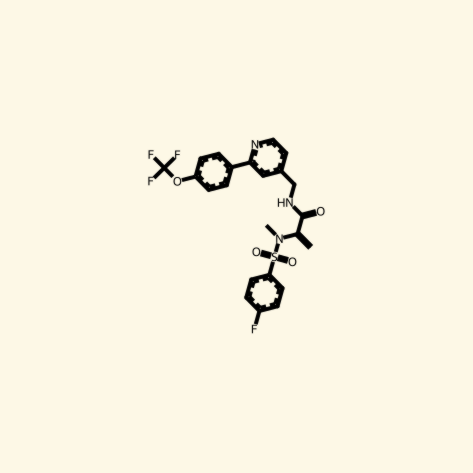 C=C(C(=O)NCc1ccnc(-c2ccc(OC(F)(F)F)cc2)c1)N(C)S(=O)(=O)c1ccc(F)cc1